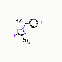 Cc1nn([C@H](C)c2ccc(F)cc2)cc1I